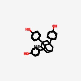 CC1C2(c3ccc(O)cc3)CC3CC(c4ccc(O)cc4)(C2)CC1(c1ccc(O)cc1)C3